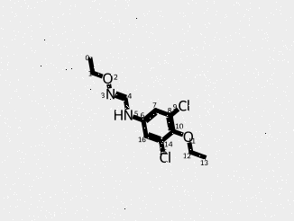 CCO/N=C/Nc1cc(Cl)c(OCC)c(Cl)c1